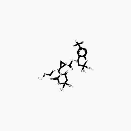 COCC[C@H](C1C[C@H]1C(=O)N[C@H]1CC(C)(C)Oc2ccc(C(F)(F)F)cc21)N1C(=N)NC(C)(C)CC1=O